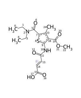 CCN(CC)C(=O)c1sc(NC(=O)/C=C/C(=O)O)c(C(=O)OC)c1C